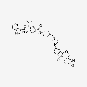 CC(C)Oc1cc2c(cc1NC(=O)c1cnn3cccnc13)CN([C@H]1CC[C@H](CN3CCN(c4ccc5c(c4)C(=O)N(C4CCC(=O)NC4=O)C5=O)CC3)CC1)C2=O